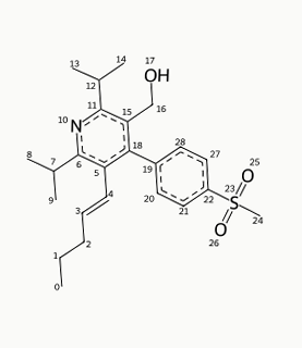 CCC/C=C/c1c(C(C)C)nc(C(C)C)c(CO)c1-c1ccc(S(C)(=O)=O)cc1